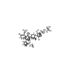 CCc1c(-c2ccc(NC(=O)[C@@H](NC(=O)c3ccnn3CCSC)C(C3CC3)C3CC3)nc2F)c(C)nn1COCC[Si](C)(C)C